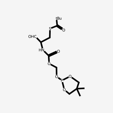 CC1(C)COP(OCOC(=O)NC(C=O)CSC(=O)C(C)(C)C)OC1